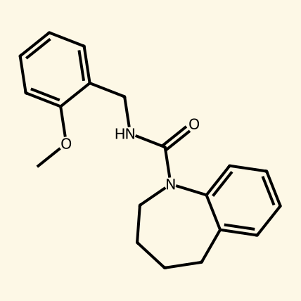 COc1ccccc1CNC(=O)N1CCCCc2ccccc21